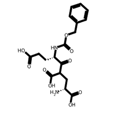 N[C@H](CC(C(=O)O)C(=O)[C@H](CCC(=O)O)NC(=O)OCc1ccccc1)C(=O)O